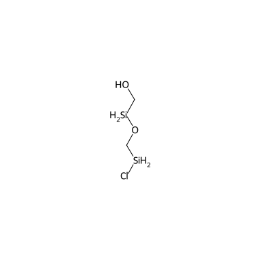 OC[SiH2]OC[SiH2]Cl